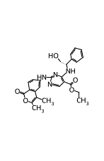 CCOC(=O)c1cnc(Nc2ccc3c(=O)oc(C)c(C)c3c2)nc1N[C@H](CO)c1ccccc1